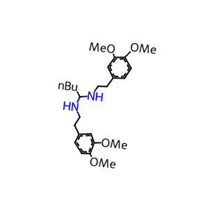 CCCCC(NCCc1ccc(OC)c(OC)c1)NCCc1ccc(OC)c(OC)c1